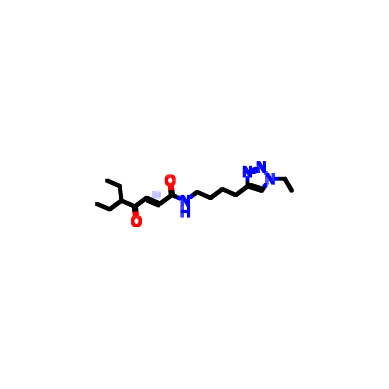 CCC(CC)C(=O)/C=C/C(=O)NCCCCc1cn(CC)nn1